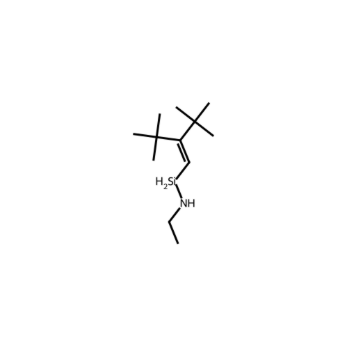 CCN[SiH2]C=C(C(C)(C)C)C(C)(C)C